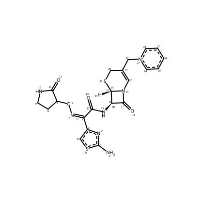 Nc1nc(/C(=N/OC2CCNC2=O)C(=O)N[C@@H]2C(=O)N3C=C(C[n+]4ccccc4)CS[C@@H]23)cs1